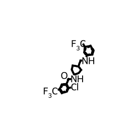 O=C(NC1CCC(CNc2cccc(C(F)(F)F)c2)CC1)c1cc(C(F)(F)F)ccc1Cl